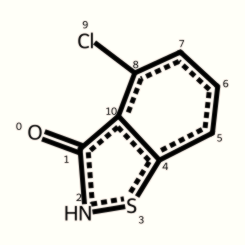 O=c1[nH]sc2cccc(Cl)c12